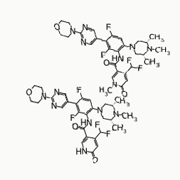 C[C@@H]1CN(c2cc(F)c(-c3cnc(N4CCOCC4)nc3)c(F)c2NC(=O)c2c[nH]c(=O)cc2C(F)F)C[C@H](C)N1C.C[C@@H]1CN(c2cc(F)c(-c3cnc(N4CCOCC4)nc3)c(F)c2NC(=O)c2cn(C)c(=O)cc2C(F)F)C[C@H](C)N1C